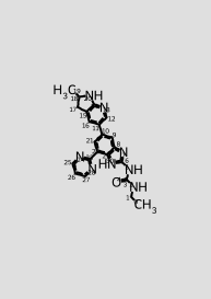 CCNC(=O)Nc1nc2cc(-c3cnc4c(c3)CC(C)N4)cc(-c3ncccn3)c2[nH]1